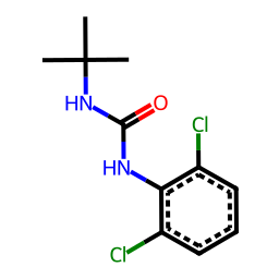 CC(C)(C)NC(=O)Nc1c(Cl)cccc1Cl